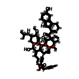 CC#C/C=C\C#C[C@H](OC1OC(C)C(SC)(C(=O)C2=NCCc3c2[nH]c2ccc(O)cc32)C(O)C1OC1CC(OC)C(NC(C)C)CO1)C1=C(NC(=O)OC)C(=O)C[C@H](O)/C1=C/CSC(C)=O